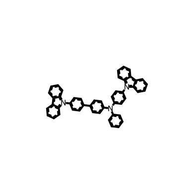 c1ccc(N(c2ccc(-c3ccc(-n4c5ccccc5c5ccccc54)cc3)cc2)c2ccc(-n3c4ccccc4c4ccccc43)cc2)cc1